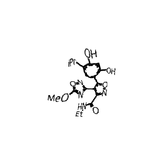 CCNC(=O)c1noc(-c2cc(C(C)C)c(O)cc2O)c1-c1noc(OC)n1